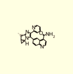 C[C@@H]1c2nc(-c3ccccn3)c(-c3ccc4nccc(C(N)=O)c4c3)n2[C@H]2CC12